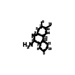 Cc1cc2nc(N)c3ccccc3c2cc1C